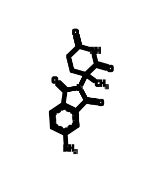 CC1(N2C(=O)c3ccc(N)cc3C2=O)CCC(=O)NC1=O